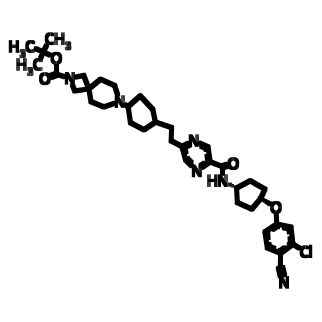 CC(C)(C)OC(=O)N1CC2(CCN(C3CCC(CCc4cnc(C(=O)N[C@H]5CC[C@H](Oc6ccc(C#N)c(Cl)c6)CC5)cn4)CC3)CC2)C1